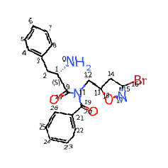 N[C@@H](Cc1ccccc1)C(=O)N(CC1CC(Br)=NO1)C(=O)c1ccccc1